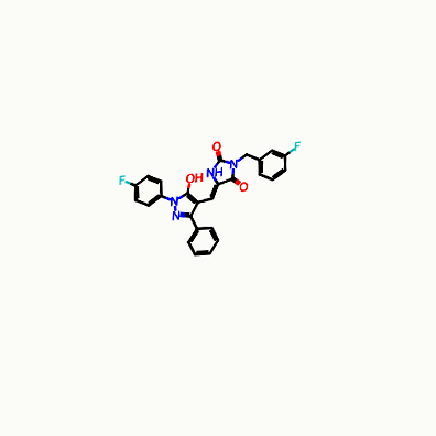 O=C1N/C(=C\c2c(-c3ccccc3)nn(-c3ccc(F)cc3)c2O)C(=O)N1Cc1cccc(F)c1